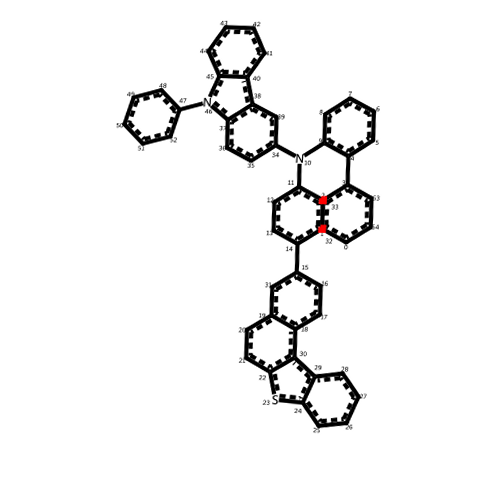 c1ccc(-c2ccccc2N(c2ccc(-c3ccc4c(ccc5sc6ccccc6c54)c3)cc2)c2ccc3c(c2)c2ccccc2n3-c2ccccc2)cc1